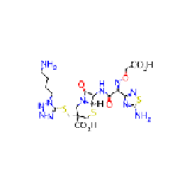 NCCCCn1nnnc1SCC1(C(=O)O)CS[C@@H]2C(NC(=O)C(=NOCC(=O)O)c3nsc(N)n3)C(=O)N2C1